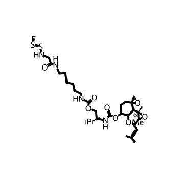 COC1C(OC(=O)N[C@@H](COC(=O)NCCCCCCNC(=O)CNSSF)C(C)C)CCC2(CO2)C1[C@]1(C)OC1CC=C(C)C